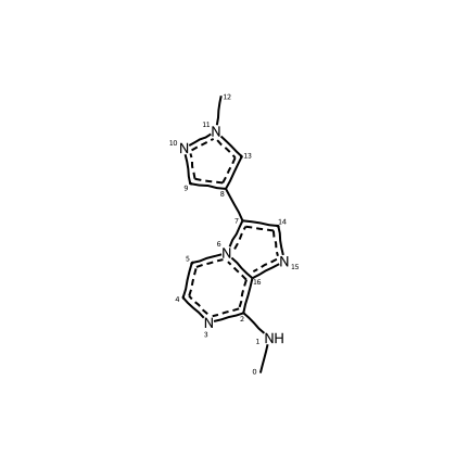 CNc1nccn2c(-c3cnn(C)c3)cnc12